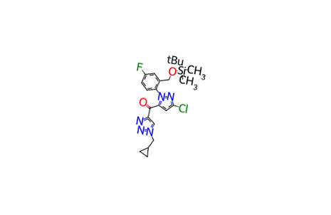 CC(C)(C)[Si](C)(C)OCc1cc(F)ccc1-n1nc(Cl)cc1C(=O)c1cn(CC2CC2)nn1